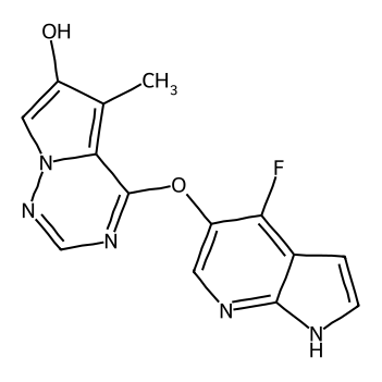 Cc1c(O)cn2ncnc(Oc3cnc4[nH]ccc4c3F)c12